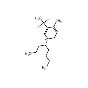 CCCCC(CCC)[C@@H]1C=C(C(C)(I)I)C(C)=CC1